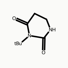 CC(C)(C)N1C(=O)CCNC1=O